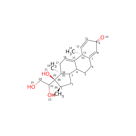 C[C@@H]1CC2C3CCC4=CC(=O)C=C[C@]4(C)C3=CC[C@]2(C)[C@@]1(O)C(O)CO